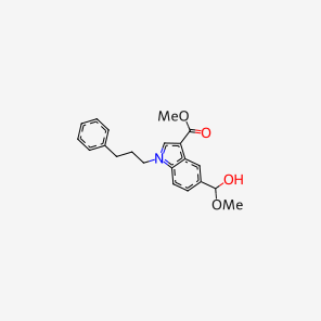 COC(=O)c1cn(CCCc2ccccc2)c2ccc(C(O)OC)cc12